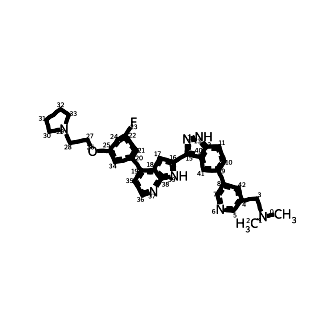 CN(C)Cc1cncc(-c2ccc3[nH]nc(-c4cc5c(-c6cc(F)cc(OCCN7CCCC7)c6)ccnc5[nH]4)c3c2)c1